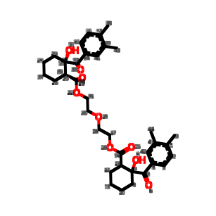 Cc1ccc(C(=O)C2(O)CCCCC2C(=O)OCCOCCOC(=O)[C@H]2CCCC[C@]2(O)C(=O)c2ccc(C)c(C)c2)cc1C